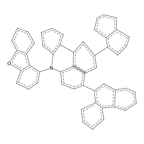 c1cc(-c2ccccc2N(c2ccc(-c3cc4ccccc4c4ccccc34)cc2)c2cccc3oc4ccccc4c23)cc(-c2cccc3ccccc23)c1